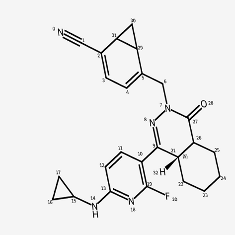 N#CC1=CC=C(CN2N=C(c3ccc(NC4CC4)nc3F)[C@H]3CCCCC3C2=O)C2CC12